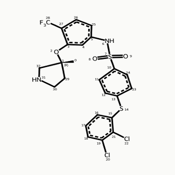 C[C@@]1(Oc2cc(NS(=O)(=O)c3ccc(Sc4cccc(Cl)c4Cl)cc3)ccc2C(F)(F)F)CCNC1